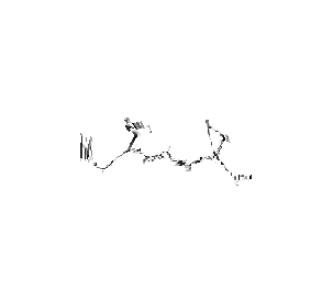 CC(C)(C)C1(CC=CC(N)CO)CC1